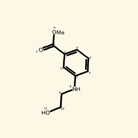 COC(=O)c1cccc(NCCO)c1